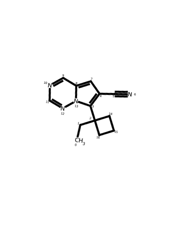 CCC1(c2c(C#N)cc3cncnn23)CCC1